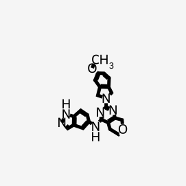 COc1ccc2c(c1)CN(c1nc3c(c(Nc4ccc5[nH]ncc5c4)n1)CCOC3)C2